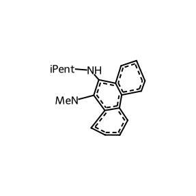 CCCC(C)Nc1c(NC)c2ccccc2c2ccccc12